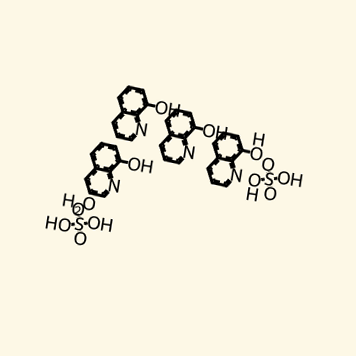 O.O=S(=O)(O)O.O=S(=O)(O)O.Oc1cccc2cccnc12.Oc1cccc2cccnc12.Oc1cccc2cccnc12.Oc1cccc2cccnc12